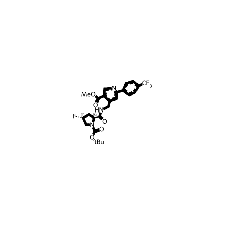 COC(=O)c1cnc(-c2ccc(C(F)(F)F)cc2)cc1CNC(=O)[C@@H]1C[C@@H](F)CN1C(=O)OC(C)(C)C